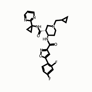 O=C(N[C@@H]1CCN(CC2CC2)C[C@H]1C(=O)NC1(c2ncccn2)CC1)c1cc(-c2ccc(F)cc2F)on1